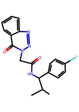 CC(C)C(NC(=O)Cn1nnc2ccccc2c1=O)c1ccc(F)cc1